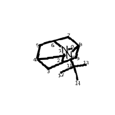 CN1C2CC3CC1CC(C2)N3C(C)(C)C